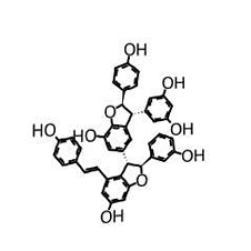 Oc1ccc(/C=C/c2cc(O)cc3c2[C@H](c2cc(O)c4c(c2)[C@@H](c2cc(O)cc(O)c2)[C@H](c2ccc(O)cc2)O4)[C@@H](c2cccc(O)c2)O3)cc1